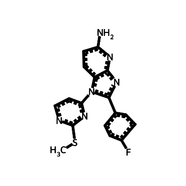 CSc1nccc(-n2c(-c3ccc(F)cc3)nc3nc(N)ccc32)n1